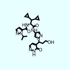 CC(C)n1nccc1C(=O)N[C@H](C(=O)Nc1cnn(C(CCO)c2ccn[nH]c2=O)c1)C(C1CC1)C1CC1